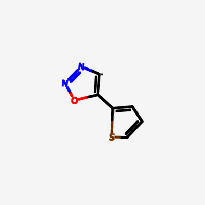 [c]1nnoc1-c1cccs1